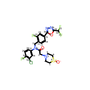 O=C(CN1CC[S+]([O-])CC1)N(Cc1ccc(-c2nnc(C(F)F)o2)cc1F)c1ccc(F)c(Cl)c1